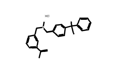 C=C(C)c1cccc(CN(C)Cc2ccc(C(C)(C)c3ccccc3)cc2)c1.Cl